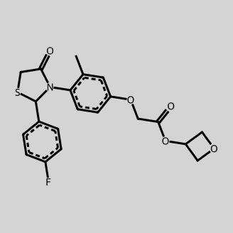 Cc1cc(OCC(=O)OC2COC2)ccc1N1C(=O)CSC1c1ccc(F)cc1